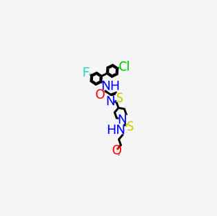 COCCCNC(=S)N1CCC(c2nc(C(=O)Nc3ccc(F)cc3-c3ccc(Cl)cc3)cs2)CC1